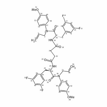 C=CCN(C(=O)[C@H](Cc1cc(F)cc(F)c1)NC(=O)CCC(=O)N[C@H](Cc1cc(F)cc(F)c1)C(=O)N(CC=C)c1ccc(OC)cc1)c1ccc(OC)cc1